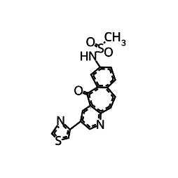 CS(=O)(=O)Nc1ccc2ccc3ncc(-c4cscn4)cc3c(=O)c2c1